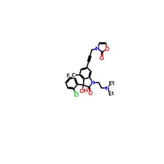 CCN(CC)CCN1C(=O)C(O)(c2ccccc2Cl)c2c1cc(C#CCn1ccoc1=O)cc2C(F)(F)F